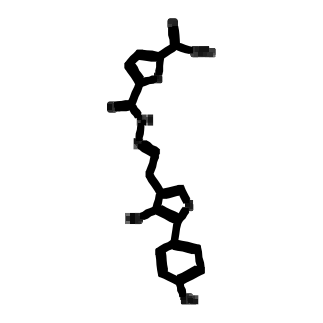 COC(=O)c1ccc(C(=O)NN=CCc2csc(-c3ccc(C(C)(C)C)cc3)c2O)s1